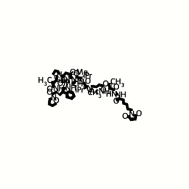 CC[C@H](C)[C@@H]([C@@H](CC(=O)N1CCC[C@H]1[C@H](OC)[C@@H](C)C(=O)N[C@@H](Cc1c[nH]c2ccccc12)C(=O)N1CCCCO1)OC)N(C)C(=O)[C@@H](NC(=O)[C@H](C(C)C)N(C)CCCC(=O)O[C@H](C)[C@H](NC(C)=O)C(=O)NNC(=O)CCCCCN1C(=O)C=CC1=O)C(C)C